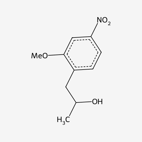 COc1cc([N+](=O)[O-])ccc1CC(C)O